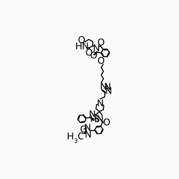 Cc1nc(-c2cccc(C(=O)NCC3(c4nc(-c5ccccc5)cs4)CCN(CCc4cn(CCCCCCOc5cccc6c5C(=O)N(C5CCC(=O)NC5=O)C6=O)nn4)CC3)c2)no1